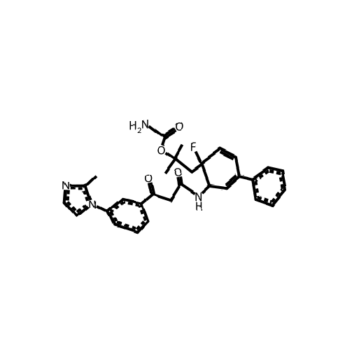 Cc1nccn1-c1cccc(C(=O)CC(=O)NC2C=C(c3ccccc3)C=CC2(F)CC(C)(C)OC(N)=O)c1